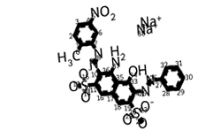 Cc1ccc([N+](=O)[O-])cc1N=Nc1c(S(=O)(=O)[O-])cc2cc(S(=O)(=O)[O-])c(N=Nc3ccccc3)c(O)c2c1N.[Na+].[Na+]